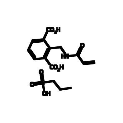 C=CC(=O)NCc1c(C(=O)O)cccc1C(=O)O.CCCS(=O)(=O)O